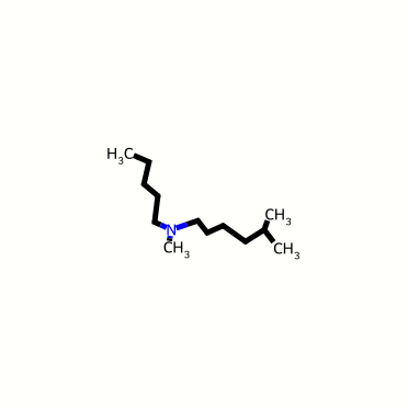 CCCCCN(C)CCCCC(C)C